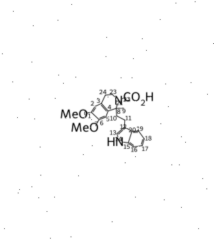 COc1cc2c(cc1OC)C(C)(CCc1c[nH]c3ccccc13)N(C(=O)O)CC2